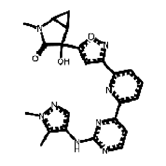 Cc1c(Nc2nccc(-c3cccc(-c4cc(C5(O)C(=O)N(C)C6CC65)on4)n3)n2)cnn1C